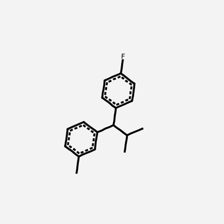 Cc1cccc(C(c2ccc(F)cc2)C(C)C)c1